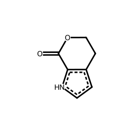 O=C1OCCc2cc[nH]c21